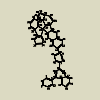 c1ccc(-c2nc(-c3ccc(-c4ccc5cc6c(cc5c4)C4(c5ccccc5-c5ccccc54)c4c-6ccc5ccccc45)cc3)nc3ccccc23)cc1